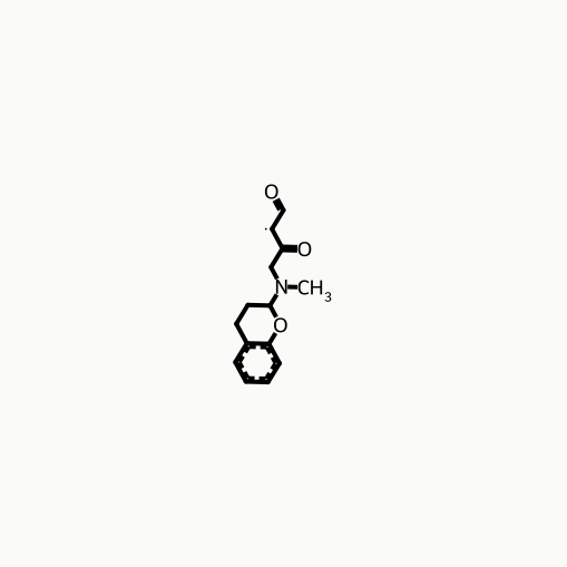 CN(CC(=O)[CH]C=O)C1CCc2ccccc2O1